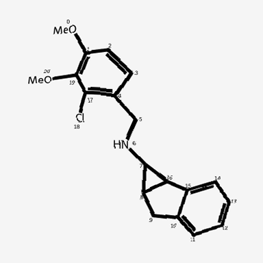 COc1ccc(CNC2C3Cc4ccccc4C32)c(Cl)c1OC